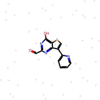 O=Cc1nc(O)c2scc(-c3ccccn3)c2n1